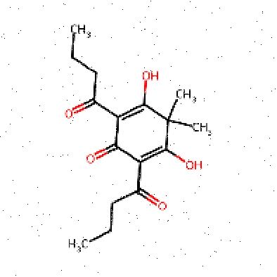 CCCC(=O)C1=C(O)C(C)(C)C(O)=C(C(=O)CCC)C1=O